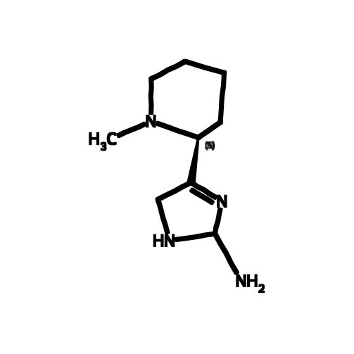 CN1CCCC[C@H]1C1=NC(N)NC1